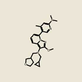 COc1nn2c(-c3cnc(N(C)C)cc3C)cccc2c1N(CC1CC1)CC1CCOC1